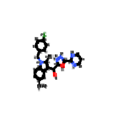 COc1ccc2c(c1)c(C(=O)c1nnc(-c3ncccn3)o1)c(C)n2Cc1ccc(Cl)cc1